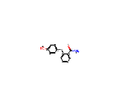 NC(=O)c1ccccc1Cc1ccc(O)cc1